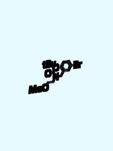 COCCN(Cc1cccc(Br)c1)C(=O)OC(C)(C)C